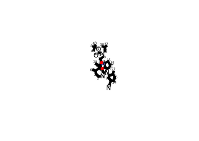 C=C1C=CN=c2c(c(/C3=C\CCOC[C@@H](C)C3)cn2-c2cc(C#N)ccc2C)=C1C(=C)CCCN(CC(C)C)C(=O)OC(C)(C)C